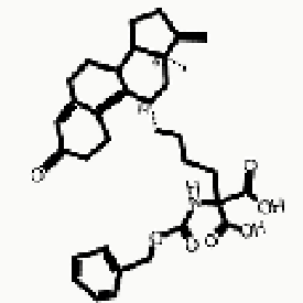 C=C1CCC2C3CCC4=CC(=O)CCC4=C3[C@@H](CCCCC(NC(=O)OCc3ccccc3)(C(=O)O)C(=O)O)C[C@]12C